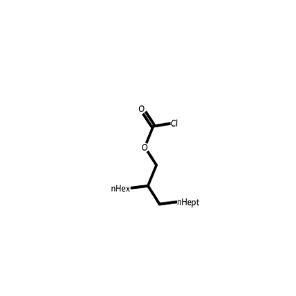 CCCCCCCCC(CCCCCC)COC(=O)Cl